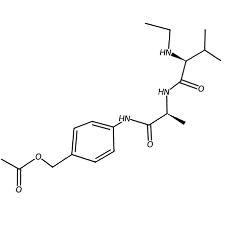 CCN[C@H](C(=O)N[C@@H](C)C(=O)Nc1ccc(COC(C)=O)cc1)C(C)C